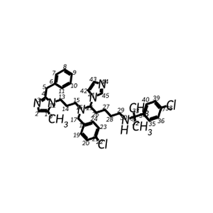 Cc1cnc(Cc2ccccc2)n1CCCN(Cc1ccc(Cl)cc1)C(CCCCNC(C)(C)c1ccc(Cl)cc1)n1ccnc1